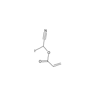 C=CC(=O)OC(I)C#N